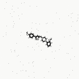 COc1ccc(-c2cc(CN3CCN(c4ccccc4OC)CC3)on2)cc1